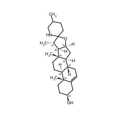 CC1CCC2(NC1)O[C@H]1C[C@H]3[C@@H]4CC=C5C[C@@H](O)CC[C@]5(C)[C@H]4CC[C@]3(C)[C@H]1[C@@H]2C